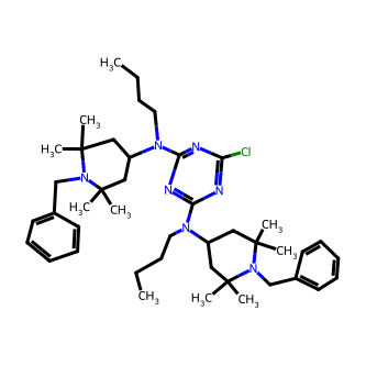 CCCCN(c1nc(Cl)nc(N(CCCC)C2CC(C)(C)N(Cc3ccccc3)C(C)(C)C2)n1)C1CC(C)(C)N(Cc2ccccc2)C(C)(C)C1